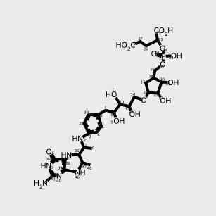 CC(Nc1ccc(CC(O)C(O)C(O)COC2CC(COP(=O)(O)OC(CCC(=O)O)C(=O)O)C(O)C2O)cc1)C1Nc2c(nc(N)[nH]c2=O)NC1C